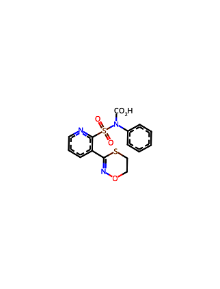 O=C(O)N(c1ccccc1)S(=O)(=O)c1ncccc1C1=NOCCS1